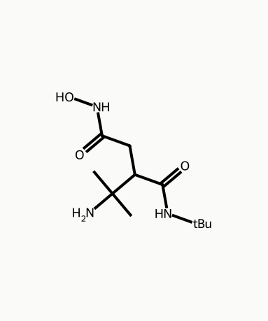 CC(C)(C)NC(=O)C(CC(=O)NO)C(C)(C)N